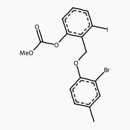 COC(=O)Oc1cccc(I)c1COc1ccc(C)cc1Br